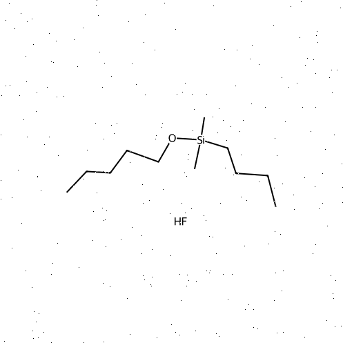 CCCCCO[Si](C)(C)CCCC.F